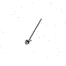 CCCCCCCCCCCCCCCCCCCCCCCC[N+](C)(C)[O-]